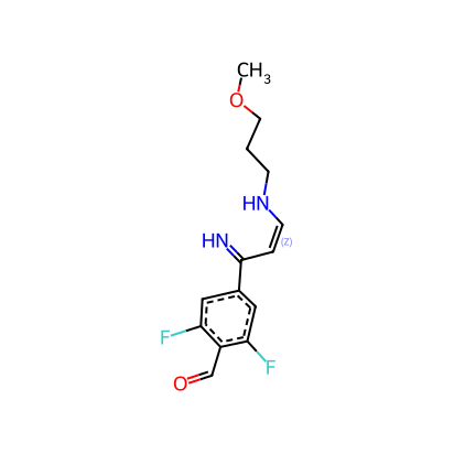 COCCCN/C=C\C(=N)c1cc(F)c(C=O)c(F)c1